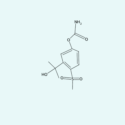 CC(C)(O)c1cc(OC(N)=O)ccc1S(C)(=O)=O